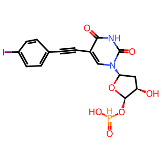 O=c1[nH]c(=O)n([C@H]2C[C@@H](O)[C@@H](O[PH](=O)O)O2)cc1C#Cc1ccc(I)cc1